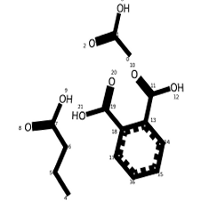 CC(=O)O.CCCC(=O)O.O=C(O)c1ccccc1C(=O)O